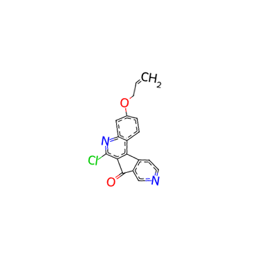 C=CCOc1ccc2c3c(c(Cl)nc2c1)C(=O)c1cnccc1-3